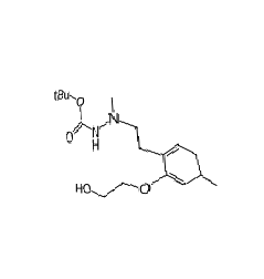 CC1C=C(OCCO)C(CCN(C)NC(=O)OC(C)(C)C)=CC1